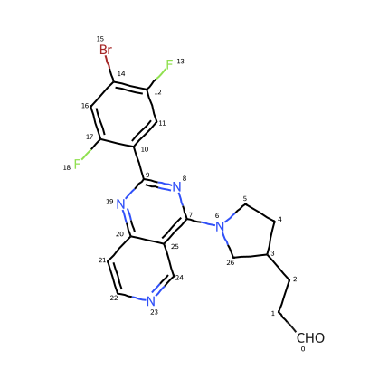 O=CCCC1CCN(c2nc(-c3cc(F)c(Br)cc3F)nc3ccncc23)C1